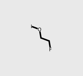 FCCOI